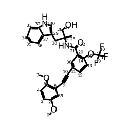 COc1ccc(OC)c(C#Cc2ccc(OC(F)(F)F)c(C(=O)NC(C)(CO)Cc3c[nH]c4ccccc34)c2)c1